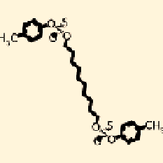 Cc1ccc(OS(=O)(=S)OCCCCCCCCCCOS(=O)(=S)Oc2ccc(C)cc2)cc1